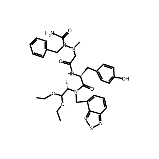 CCOC(OCC)[C@H](C)N(Cc1cccc2nsnc12)C(=O)[C@H](Cc1ccc(O)cc1)NC(=O)CN(C)N(Cc1ccccc1)C(N)=O